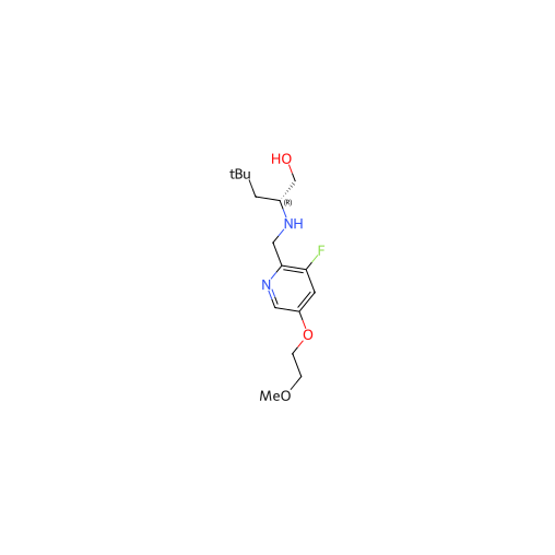 COCCOc1cnc(CN[C@@H](CO)CC(C)(C)C)c(F)c1